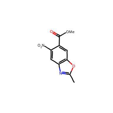 COC(=O)c1cc2oc(C)nc2cc1[N+](=O)[O-]